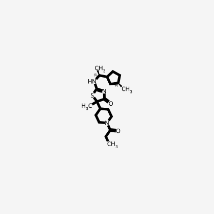 CCC(=O)N1CCC(C2(C)SC(N[C@@H](C)C3CC[C@@H](C)C3)=NC2=O)CC1